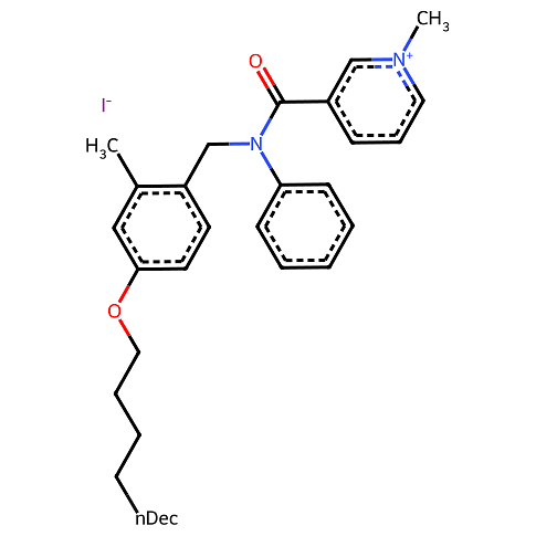 CCCCCCCCCCCCCCOc1ccc(CN(C(=O)c2ccc[n+](C)c2)c2ccccc2)c(C)c1.[I-]